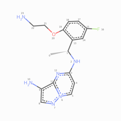 C[C@@H](Nc1ccn2ncc(N)c2n1)c1cc(F)ccc1OCCN